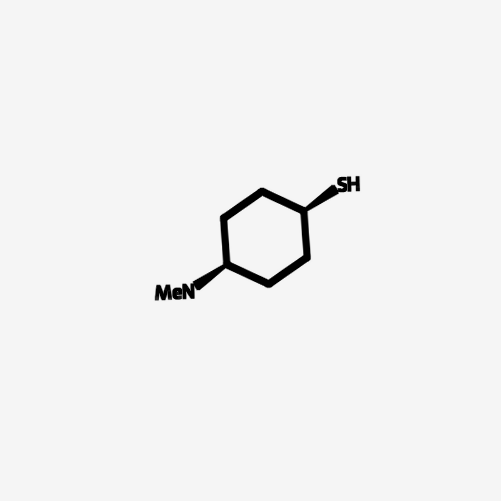 CN[C@H]1CC[C@@H](S)CC1